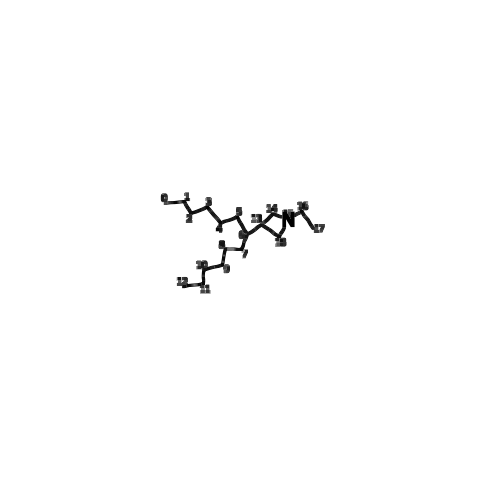 CCCCCCC(CCCCCC)C1CN(CC)C1